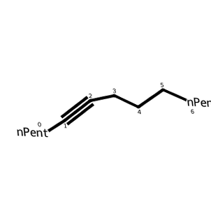 [CH2]CCCCC#CCCCCCCCC